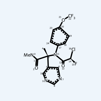 CNC(=O)[C@@](C)(c1cncnc1)N(C(=O)[C@H](F)Cl)c1ccc(OC(F)(F)F)cc1